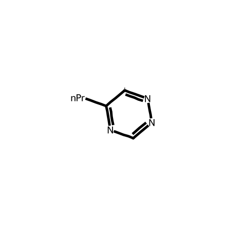 CCCc1[c]nncn1